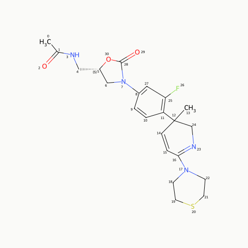 CC(=O)NC[C@H]1CN(c2ccc(C3(C)C=CC(N4CCSCC4)=NC3)c(F)c2)C(=O)O1